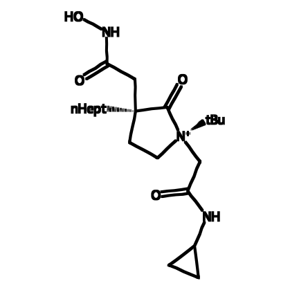 CCCCCCC[C@@]1(CC(=O)NO)CC[N@+](CC(=O)NC2CC2)(C(C)(C)C)C1=O